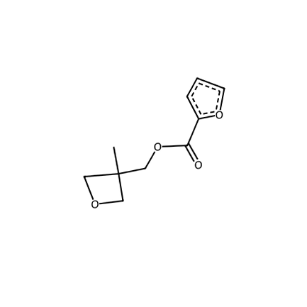 CC1(COC(=O)c2ccco2)COC1